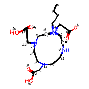 CCCC[N+]1(CC(=O)[O-])CCNCCN(CC(=O)O)CCN(CC(=O)O)CC1